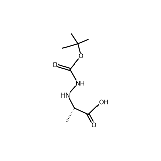 C[C@H](NNC(=O)OC(C)(C)C)C(=O)O